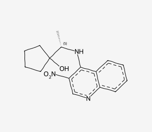 C[C@H](Nc1c([N+](=O)[O-])cnc2ccccc12)C1(O)CCCC1